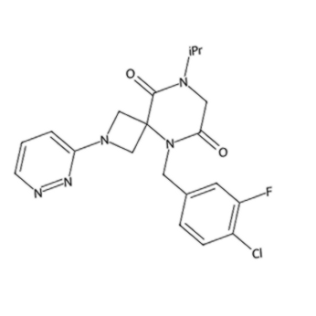 CC(C)N1CC(=O)N(Cc2ccc(Cl)c(F)c2)C2(CN(c3cccnn3)C2)C1=O